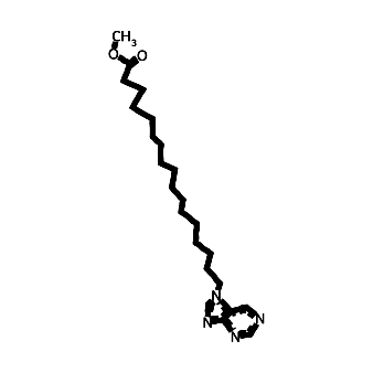 COC(=O)CCCCCCCCCCCCCCCCn1cnc2ncncc21